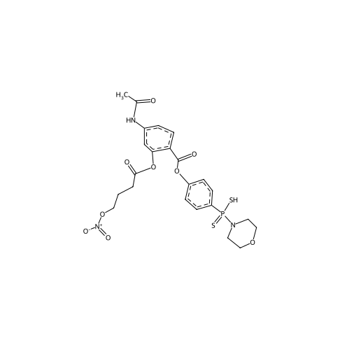 CC(=O)Nc1ccc(C(=O)Oc2ccc(P(=S)(S)N3CCOCC3)cc2)c(OC(=O)CCCO[N+](=O)[O-])c1